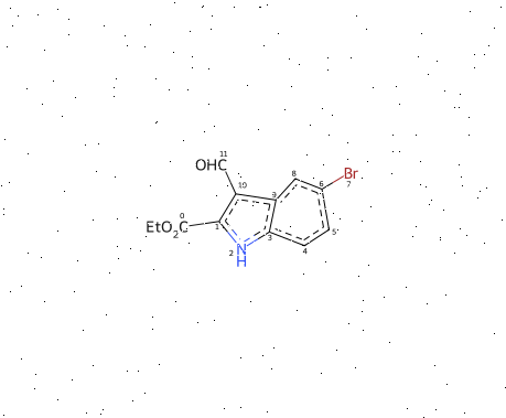 CCOC(=O)c1[nH]c2ccc(Br)cc2c1C=O